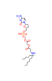 CCCCCCC(C)(CCCCC)NCCC(=O)OCC(=O)OCOP(=O)(O)OC[C@@H]1CC[C@H](n2ccc(N)nc2=O)O1